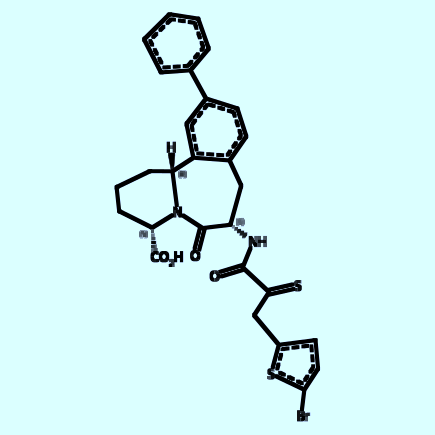 O=C(N[C@H]1Cc2ccc(-c3ccccc3)cc2[C@H]2CCC[C@@H](C(=O)O)N2C1=O)C(=S)Cc1ccc(Br)s1